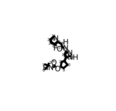 CC(C)(C)NC(=O)OC1CCC(c2cc(NC(=O)Cc3ncccc3F)n[nH]2)C1